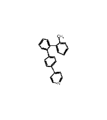 Cc1ccccc1-c1ccccc1-c1ccc(-c2ccncc2)cc1